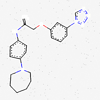 C=C(COc1cccc(-n2cnnn2)c1)Nc1ccc(N2CCCCCC2)cc1